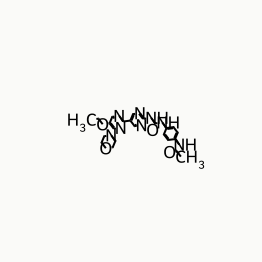 CCOc1cnc(-c2cnc(NC(=O)Nc3ccc(NC(C)=O)cc3)nc2)nc1N1CCOCC1